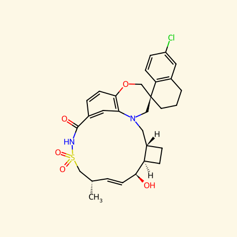 C[C@H]1/C=C/[C@H](O)[C@@H]2CC[C@H]2CN2C[C@@]3(CCCc4cc(Cl)ccc43)COc3ccc(cc32)C(=O)NS(=O)(=O)C1